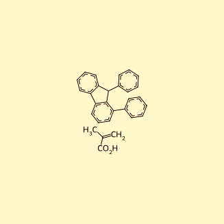 C=C(C)C(=O)O.c1ccc(-c2cccc3c2C(c2ccccc2)c2ccccc2-3)cc1